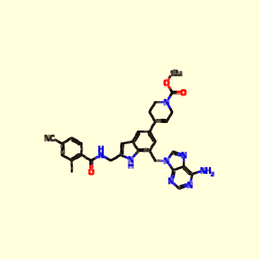 Cc1cc(C#N)ccc1C(=O)NCc1cc2cc(C3=CCN(C(=O)OC(C)(C)C)CC3)cc(Cn3cnc4c(N)ncnc43)c2[nH]1